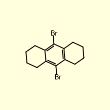 Brc1c2c(c(Br)c3c1CCCC3)CCCC2